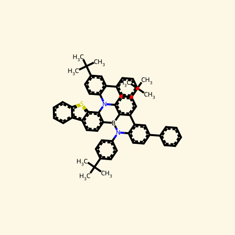 CC(C)(C)c1ccc(N2B3c4ccc5c(sc6ccccc65)c4N(c4ccc(C(C)(C)C)cc4-c4ccccc4)c4cc(C(C)(C)C)cc(c43)-c3cc(-c4ccccc4)ccc32)cc1